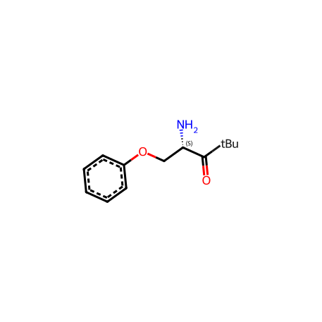 CC(C)(C)C(=O)[C@@H](N)COc1ccccc1